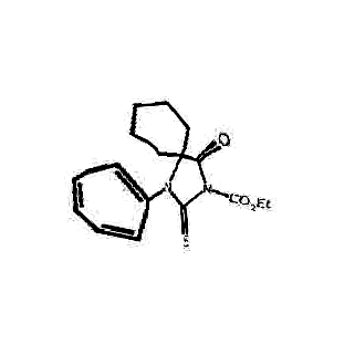 CCOC(=O)N1C(=O)C2(CCCCC2)N(c2ccccc2)C1=S